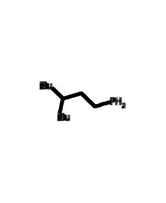 CCC(C)C(CCP)C(C)CC